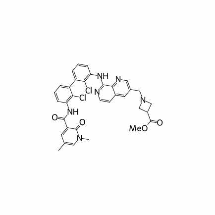 COC(=O)C1CN(Cc2cnc3c(Nc4cccc(-c5cccc(NC(=O)c6cc(C)cn(C)c6=O)c5Cl)c4Cl)nccc3c2)C1